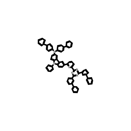 c1ccc(-c2ccc(N(c3ccc(-c4ccccc4)cc3)c3ccc4c(c3)c3cc(-c5cccc(-c6nc(-c7cccc(-c8ccccc8)c7)nc(-c7cccc(-c8ccccc8)c7)n6)n5)ccc3n4-c3ccccc3)cc2)cc1